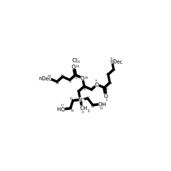 CCCCCCCCCCCCCC(=O)OCC(C[N+](C)(CCO)CCO)OC(=O)CCCCCCCCCCCCC.[Cl-]